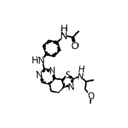 COCC(C)Nc1nc2c(s1)-c1nc(Nc3ccc(NC(C)=O)cc3)ncc1CC2